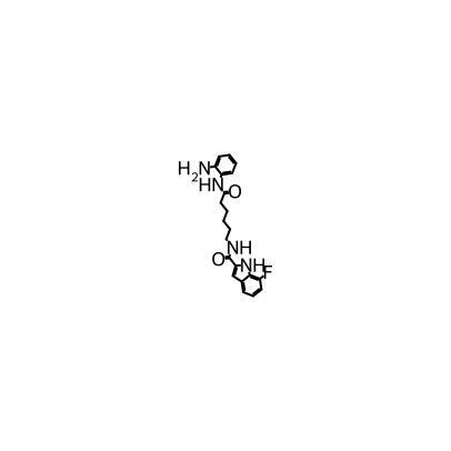 Nc1ccccc1NC(=O)CCCCCNC(=O)c1cc2cccc(F)c2[nH]1